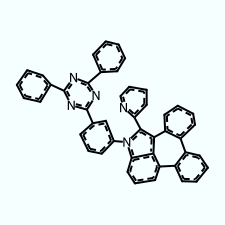 c1ccc(-c2nc(-c3ccccc3)nc(-c3cccc(-n4c(-c5ccccn5)c5c6c(cccc64)-c4ccccc4-c4ccccc4-5)c3)n2)cc1